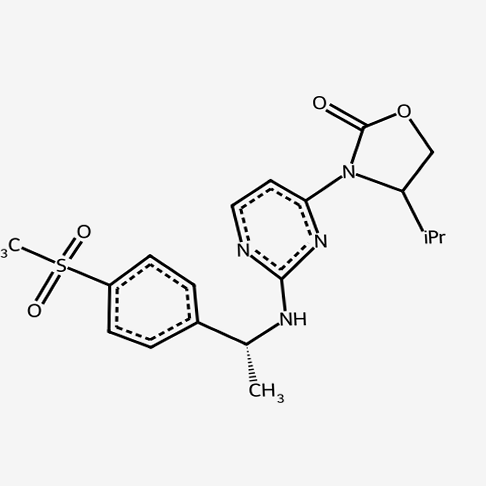 CC(C)C1COC(=O)N1c1ccnc(N[C@H](C)c2ccc(S(C)(=O)=O)cc2)n1